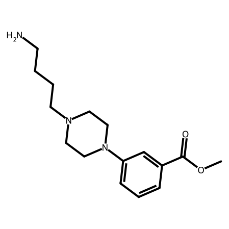 COC(=O)c1cccc(N2CCN(CCCCN)CC2)c1